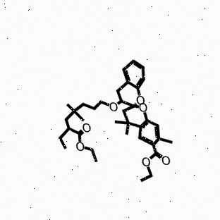 CCOC(=O)c1cc2c(cc1C)OC1(CC2(C)C)Oc2ccccc2CC1OCCCC(C)(C)CC(CC)C(=O)OCC